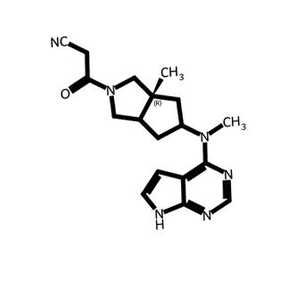 CN(c1ncnc2[nH]ccc12)C1CC2CN(C(=O)CC#N)C[C@]2(C)C1